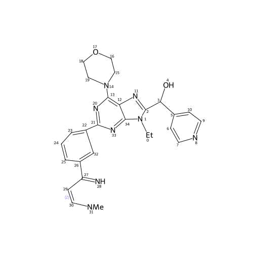 CCn1c(C(O)c2ccncc2)nc2c(N3CCOCC3)nc(-c3cccc(C(=N)/C=C\NC)c3)nc21